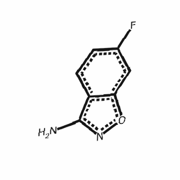 Nc1noc2cc(F)ccc12